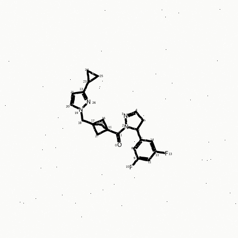 O=C(N1N=CCC1c1cc(F)cc(F)c1)C12CC(Cn3ccc(C4CC4)n3)(C1)C2